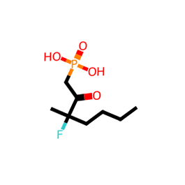 CCCCC(C)(F)C(=O)CP(=O)(O)O